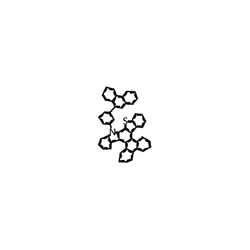 c1cc(-c2cc3ccccc3c3ccccc23)cc(-n2c3ccccc3c3c4c5ccccc5c5ccccc5c4c4c5ccccc5sc4c32)c1